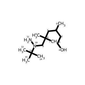 CC(CCO)CC(C)(C)CN(N)C(C)(C)C